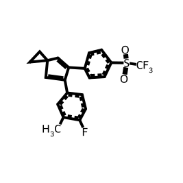 Cc1cc(C2=CC3(C=C2c2ccc(S(=O)(=O)C(F)(F)F)cc2)CC3)ccc1F